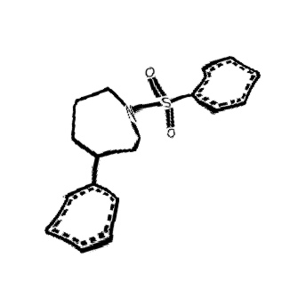 O=S(=O)(c1ccccc1)N1CCCC(c2[c]cccc2)C1